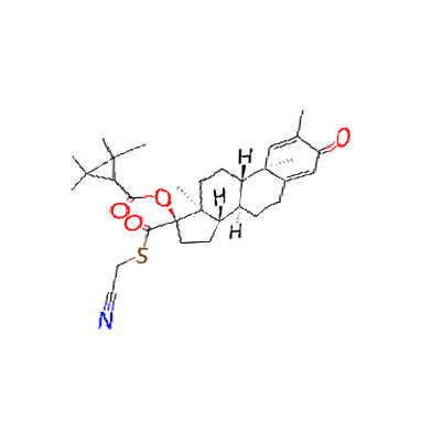 CC1=C[C@@]2(C)C(=CC1=O)CC[C@@H]1[C@@H]2CC[C@@]2(C)[C@H]1CC[C@]2(OC(=O)C1C(C)(C)C1(C)C)C(=O)SCC#N